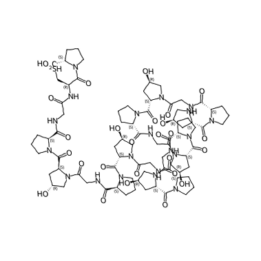 O=C(CNC(=O)[C@@H]1CCCN1C(=O)[C@@H]1C[C@@H](O)CN1C(=O)CNC(=O)[C@@H]1CCCN1C(=O)[C@@H]1C[C@@H](O)CN1C(=O)CNC(=O)[C@@H]1CCCN1C(=O)[C@@H]1C[C@@H](O)CN1C(=O)CNC(=O)[C@@H]1CCCN1C(=O)[C@@H]1C[C@@H](O)CN1C(=O)CNC(=O)[C@@H]1CCCN1C(=O)[C@@H]1C[C@@H](O)CN1C(=O)CNC(=O)[C@@H]1CCCN1C(=O)[C@@H]1C[C@@H](O)CN1)N[C@@H](CS)C(=O)N1CCC[C@H]1C(=O)O